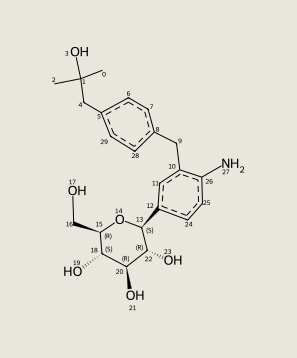 CC(C)(O)Cc1ccc(Cc2cc([C@@H]3O[C@H](CO)[C@@H](O)[C@H](O)[C@H]3O)ccc2N)cc1